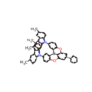 Cc1ccc2c(c1)c1cc(C)ccc1n2-c1ccc2c(c1)B1c3cc(-n4c5ccc(C)cc5c5cc(C)ccc54)ccc3Oc3cc(-c4ccccc4)cc(c31)O2